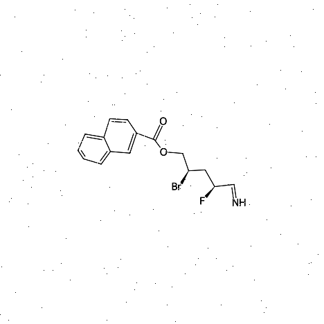 N=C[C@@H](F)C[C@@H](Br)COC(=O)c1ccc2ccccc2c1